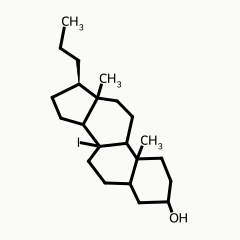 CCC[C@@H]1CCC2C3(I)CCC4CC(O)CCC4(C)C3CCC21C